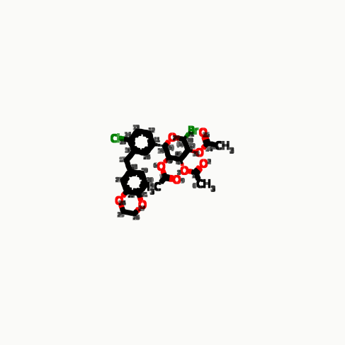 CC(=O)O[C@@H]1[C@@H](OC(C)=O)[C@H](c2ccc(Cl)c(Cc3ccc4c(c3)OCCO4)c2)O[C@@H](Br)[C@H]1OC(C)=O